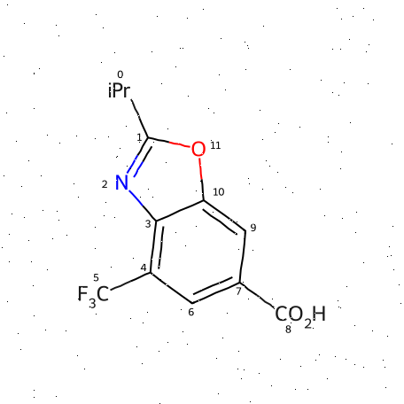 CC(C)c1nc2c(C(F)(F)F)cc(C(=O)O)cc2o1